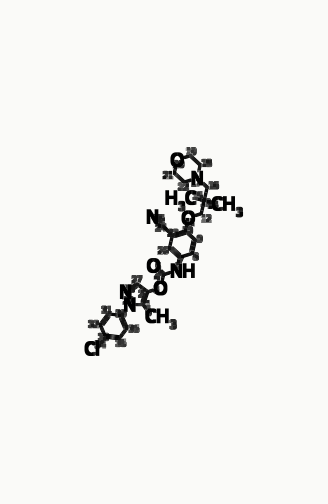 Cc1c(OC(=O)Nc2ccc(OCC(C)(C)CN3CCOCC3)c(C#N)c2)cnn1-c1ccc(Cl)cc1